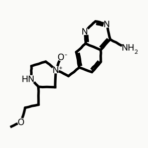 COCCC1C[N+]([O-])(Cc2ccc3c(N)ncnc3c2)CCN1